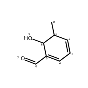 CC1C=CC=C(C=O)C1O